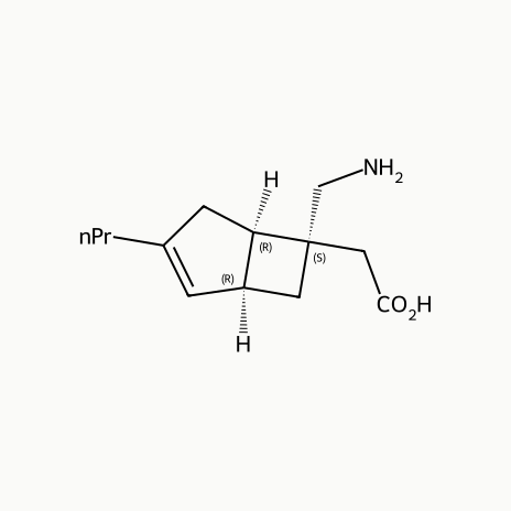 CCCC1=C[C@@H]2C[C@](CN)(CC(=O)O)[C@@H]2C1